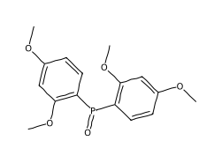 COc1ccc([P](=O)c2ccc(OC)cc2OC)c(OC)c1